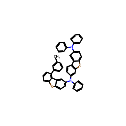 Cc1cccc(-c2cccc3sc4ccc(N(c5ccccc5)c5ccc6c(c5)sc5ccc(N(c7ccccc7)c7ccccc7)cc56)cc4c23)c1